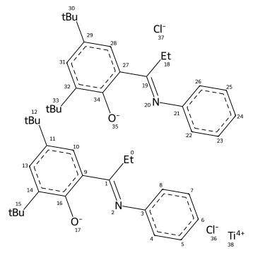 CC/C(=N\c1ccccc1)c1cc(C(C)(C)C)cc(C(C)(C)C)c1[O-].CC/C(=N\c1ccccc1)c1cc(C(C)(C)C)cc(C(C)(C)C)c1[O-].[Cl-].[Cl-].[Ti+4]